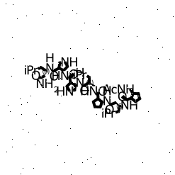 CC(=O)NC1CCCC1C(=O)N[C@H](CC(=O)NC1CCCC1C(=O)NC[C@H](CC(C)C)C(=O)NC1CNCC1C(=O)NC1CNCC1C(=O)N[C@H](CC(N)=O)CC(C)C)CC(C)C